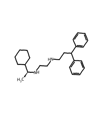 C[C@H](NCCNCCC(c1ccccc1)c1ccccc1)C1CCCCC1